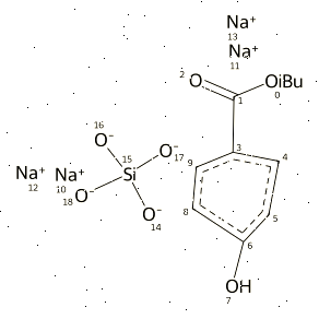 CC(C)COC(=O)c1ccc(O)cc1.[Na+].[Na+].[Na+].[Na+].[O-][Si]([O-])([O-])[O-]